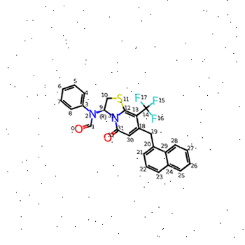 O=CN(c1ccccc1)[C@H]1CSc2c(C(F)(F)F)c(Cc3cccc4ccccc34)cc(=O)n21